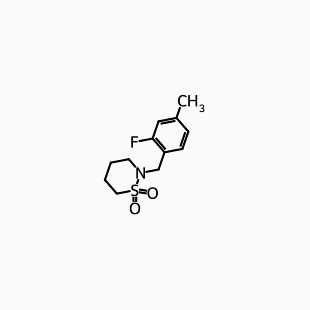 Cc1ccc(CN2CCCCS2(=O)=O)c(F)c1